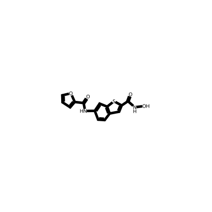 O=C(Nc1ccc2cc(C(=O)NO)sc2c1)c1ccco1